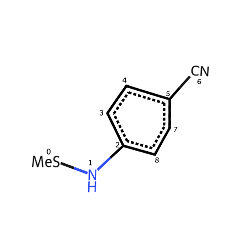 CSNc1ccc(C#N)cc1